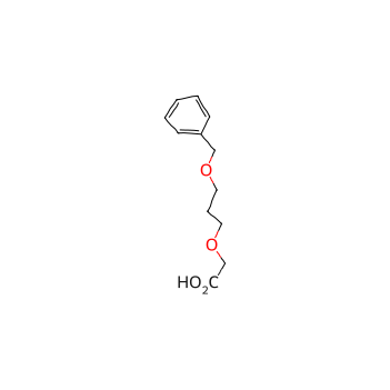 O=C(O)COCCCOCc1ccccc1